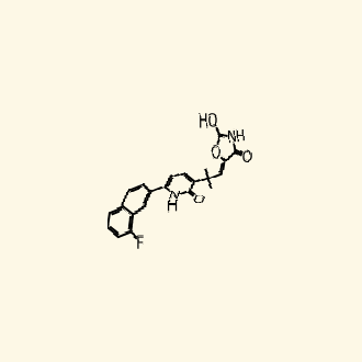 CC(C)(/C=C1\OC(O)NC1=O)c1ccc(-c2ccc3cccc(F)c3c2)[nH]c1=O